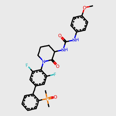 COc1ccc(NC(=O)NC2CCCN(c3c(F)cc(-c4ccccc4P(C)(C)=O)cc3F)C2=O)cc1